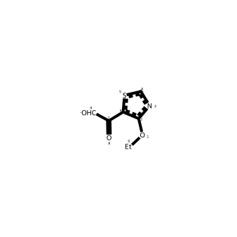 CCOc1n[c]sc1C(=O)[C]=O